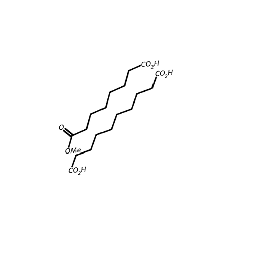 COC(=O)CCCCCCC(=O)O.O=C(O)CCCCCCCCC(=O)O